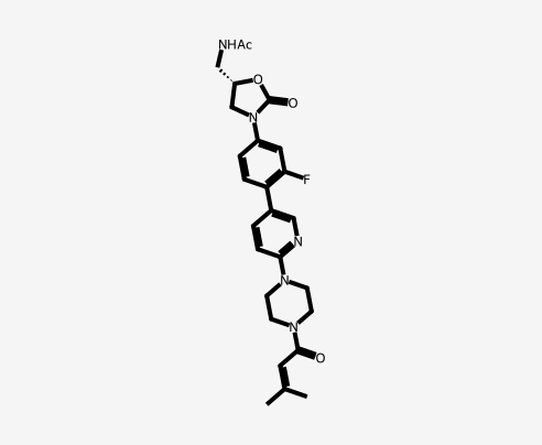 CC(=O)NC[C@H]1CN(c2ccc(-c3ccc(N4CCN(C(=O)C=C(C)C)CC4)nc3)c(F)c2)C(=O)O1